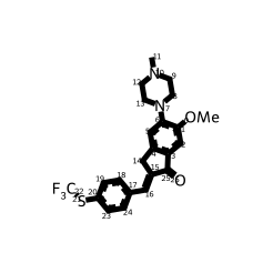 COc1cc2c(cc1N1CCN(C)CC1)CC(=Cc1ccc(SC(F)(F)F)cc1)C2=O